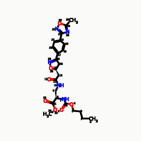 CCCCOC(=O)N[C@@H](CNC(=O)C[C@H]1CC(c2ccc(-c3noc(C)n3)cc2)=NO1)C(=O)OC